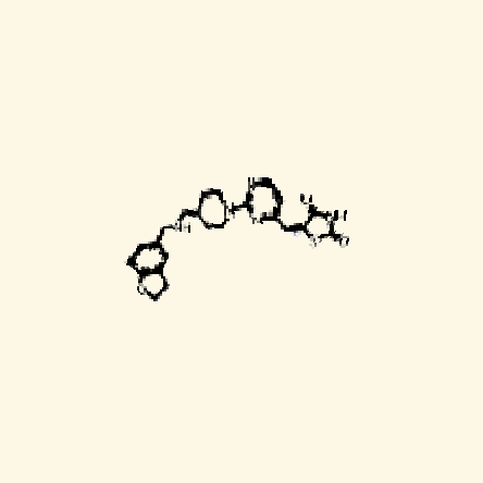 O=C1NC(=O)/C(=C\c2ccnc(N3CCC(CNCc4ccc5c(c4)CCO5)CC3)n2)S1